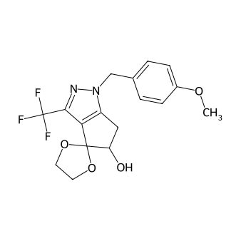 COc1ccc(Cn2nc(C(F)(F)F)c3c2CC(O)C32OCCO2)cc1